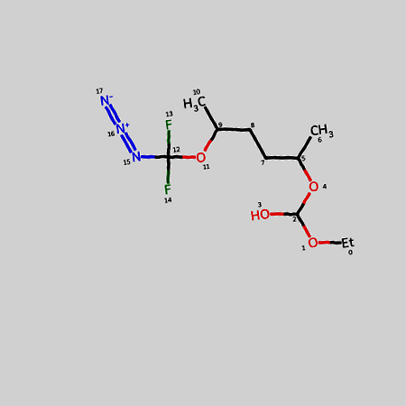 CCOC(O)OC(C)CCC(C)OC(F)(F)N=[N+]=[N-]